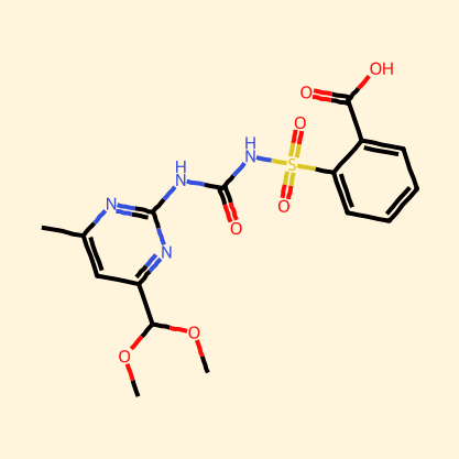 COC(OC)c1cc(C)nc(NC(=O)NS(=O)(=O)c2ccccc2C(=O)O)n1